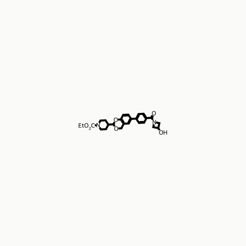 CCOC(=O)N1CCC(C2OCc3cc(-c4ccc(C(=O)N5CC(O)C5)cc4)ccc3O2)CC1